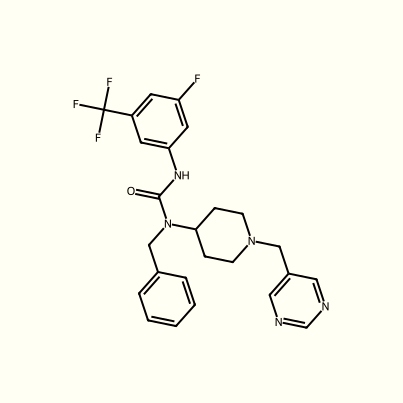 O=C(Nc1cc(F)cc(C(F)(F)F)c1)N(Cc1ccccc1)C1CCN(Cc2cncnc2)CC1